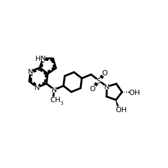 CN(c1ncnc2[nH]ccc12)C1CCC(CS(=O)(=O)N2C[C@H](O)[C@@H](O)C2)CC1